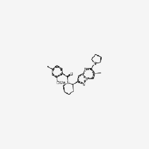 COc1cc(C)ccc1C(=O)N1CCCCC1c1cc2nc(N3CCCC3)c(C)cn2n1